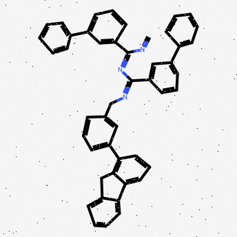 C=N/C(=N\C(=N/Cc1cccc(-c2cccc3c2Cc2ccccc2-3)c1)c1cccc(-c2ccccc2)c1)c1cccc(-c2ccccc2)c1